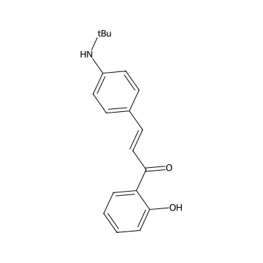 CC(C)(C)Nc1ccc(C=CC(=O)c2ccccc2O)cc1